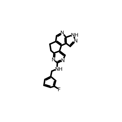 Fc1cccc(CNc2ncc3c(n2)CCc2cnc4[nH]ncc4c2-3)c1